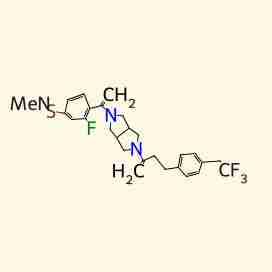 C=C(CCc1ccc(CC(F)(F)F)cc1)N1CC2CN(C(=C)c3ccc(SNC)cc3F)CC2C1